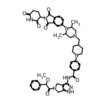 COC(C(=O)N1Cc2[nH]nc(NC(=O)c3ccc(N4CCC(CN5CC(C)N(c6ccc7c(c6)C(=O)N(C6CCC(=O)NC6=O)C7=O)C(C)C5)CC4)cc3)c2C1)c1ccccc1